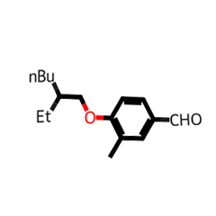 CCCCC(CC)COc1ccc(C=O)cc1C